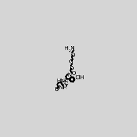 Cl.NCCOCCOCCOCC(=O)N1CC[C@@H](C(=O)N[C@H]2CCC(=O)NC2=O)c2ccccc21